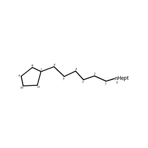 CCCCCCCCCCCCC[C]1CCCC1